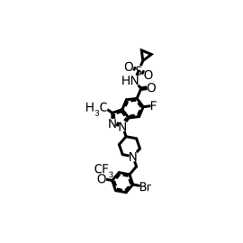 Cc1nn(C2CCN(Cc3cc(OC(F)(F)F)ccc3Br)CC2)c2cc(F)c(C(=O)NS(=O)(=O)C3CC3)cc12